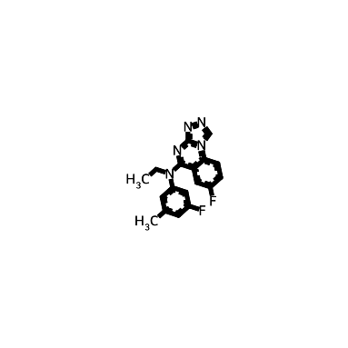 CCN(c1cc(C)cc(F)c1)c1nc2nncn2c2ccc(F)cc12